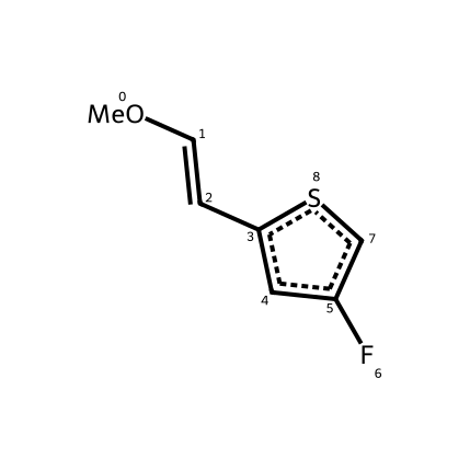 CO/C=C/c1cc(F)cs1